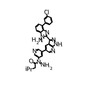 CC(C)CC(=O)N(N)c1cncc(-c2cnc3[nH]nc(-c4nc5c(-c6cccc(Cl)c6)cccc5n4N)c3c2)c1